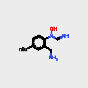 CCCCc1ccc(N(O)C=N)c(CN)c1